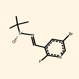 CC(C)(C)[S@@+]([O-])/N=C/c1cc(Br)cnc1F